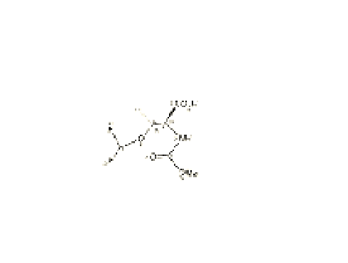 COC(=O)N[C@H](C(=O)O)[C@@H](C)OC(F)F